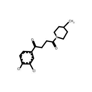 CC1CCN(C(=O)CCC(=O)c2ccc(Cl)c(Cl)c2)CC1